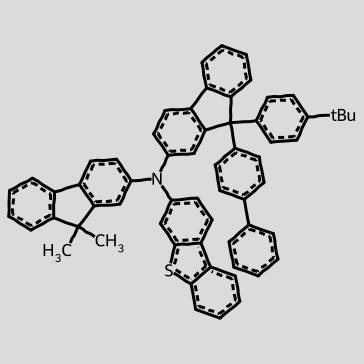 CC(C)(C)c1ccc(C2(c3ccc(-c4ccccc4)cc3)c3ccccc3-c3ccc(N(c4ccc5c(c4)C(C)(C)c4ccccc4-5)c4ccc5c(c4)sc4ccccc45)cc32)cc1